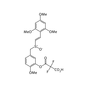 COc1cc(OC)c(C=C[S+]([O-])Cc2ccc(OC)c(OC(=O)C(F)(F)C(=O)O)c2)c(OC)c1